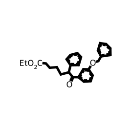 CCOC(=O)CCCCC(C(=O)c1cccc(OCc2ccccc2)c1)c1ccccc1